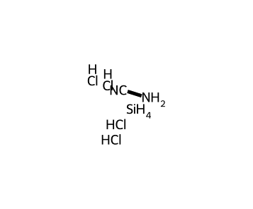 Cl.Cl.Cl.Cl.N#CN.[SiH4]